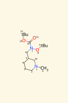 CN1CCCC(CN(OC(C)(C)C)C(=O)OC(C)(C)C)C1